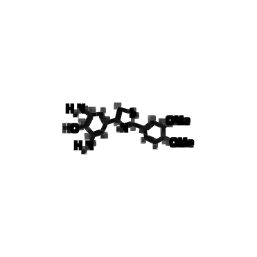 COc1ccc(-c2nc(-c3cc(N)c(O)c(N)c3)cs2)cc1OC